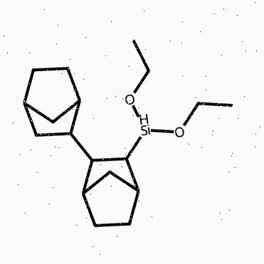 CCO[SiH](OCC)C1C2CCC(C2)C1C1CC2CCC1C2